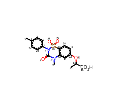 Cc1ccc(N2C(=O)N(C)c3cc(OC(C)C(=O)O)ccc3S2(=O)=O)cc1